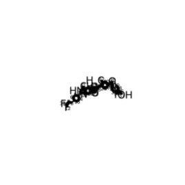 C=C1NC([C@H]2CC[C@H](CC=C(F)F)CC2)=NC12CCN(S(=O)(=O)CCc1ccc(C(=O)N3CCC(F)(CO)CC3)cc1C)CC2